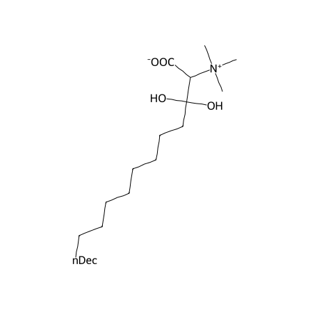 CCCCCCCCCCCCCCCCCCC(O)(O)C(C(=O)[O-])[N+](C)(C)C